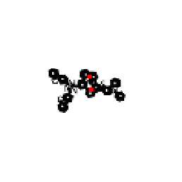 c1ccc(-c2cc(-c3nc(-c4ccc5c(c4)oc4ccccc45)nc(-c4ccc5c(c4)oc4ccccc45)n3)cc(-c3ccccc3)c2-n2c3ccccc3c3c4sc5c(ccc6c5c5ccccc5n6-c5ccccc5)c4ccc32)cc1